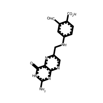 Nc1nc2ncc(CNc3ccc(C(=O)O)c(C=O)c3)nc2c(=O)[nH]1